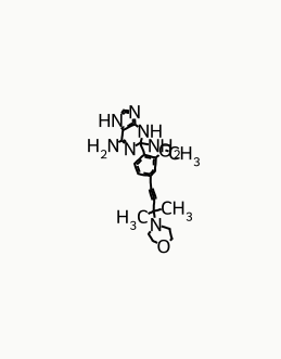 COc1cc(C#CC(C)(C)N2CCOCC2)ccc1C1(N)N=C(N)c2[nH]cnc2N1